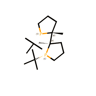 CC(C)(C)[P@@]1CCC[C@]1(C)[C@@]1(C)CCC[P@]1C(C)(C)C